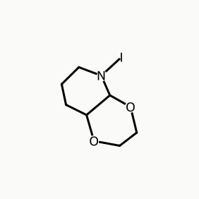 IN1CCCC2OCCOC21